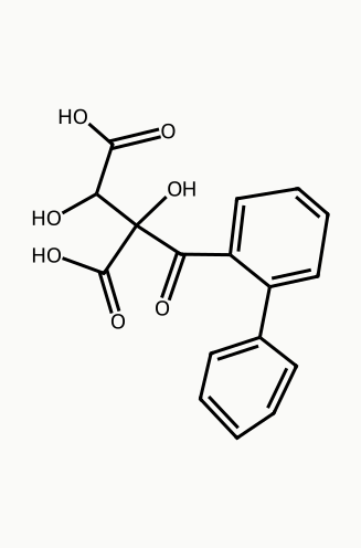 O=C(O)C(O)C(O)(C(=O)O)C(=O)c1ccccc1-c1ccccc1